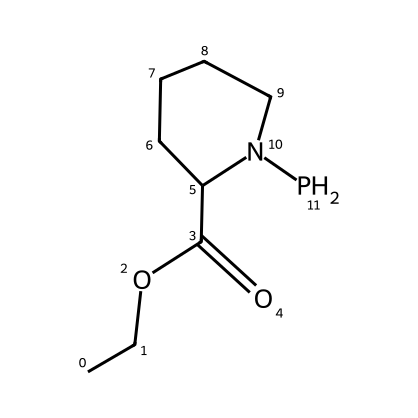 CCOC(=O)C1CCCCN1P